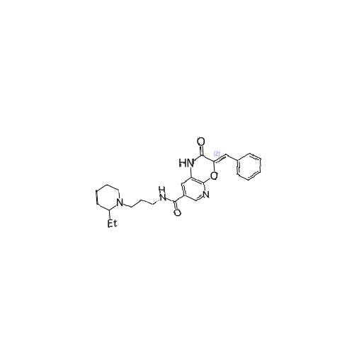 CCC1CCCCN1CCCNC(=O)c1cnc2c(c1)NC(=O)/C(=C/c1ccccc1)O2